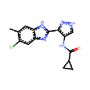 Cc1cc2[nH]c(-c3n[nH]cc3NC(=O)C3CC3)nc2cc1Cl